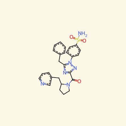 NS(=O)(=O)c1ccc(-n2nc(C(=O)N3CCCC3Cc3cccnc3)nc2Cc2ccccc2)cc1